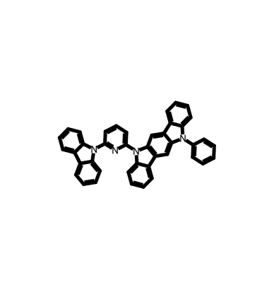 c1ccc(-n2c3ccccc3c3cc4c(cc32)c2ccccc2n4-c2cccc(-n3c4ccccc4c4ccccc43)n2)cc1